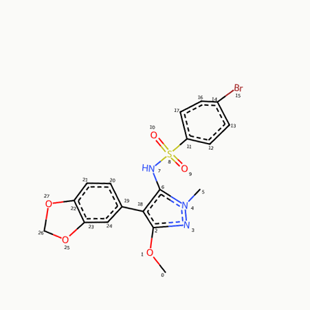 COc1nn(C)c(NS(=O)(=O)c2ccc(Br)cc2)c1-c1ccc2c(c1)OCO2